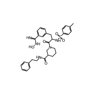 Cc1ccc(S(=O)(=O)NC(Cc2cccc(C(=N)NO)c2)C(=O)N2CCCC(C(=O)NCCc3ccccc3)C2)cc1